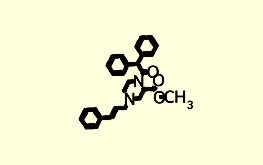 COC(=O)C1CN(C/C=C/c2ccccc2)CCN1C(=O)C(c1ccccc1)c1ccccc1